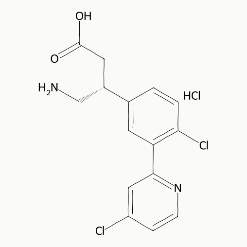 Cl.NC[C@H](CC(=O)O)c1ccc(Cl)c(-c2cc(Cl)ccn2)c1